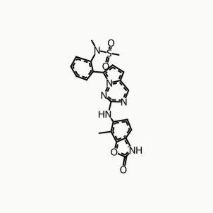 Cc1c(Nc2ncc3ccc(-c4ccccc4N(C)S(C)(=O)=O)n3n2)ccc2[nH]c(=O)oc12